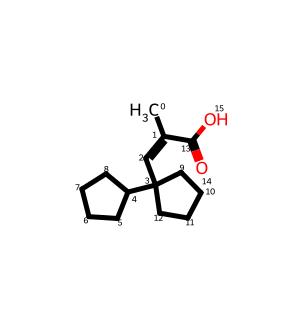 CC(=CC1(C2CCCC2)CCCC1)C(=O)O